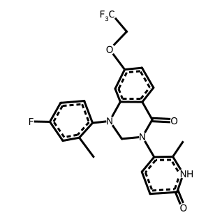 Cc1cc(F)ccc1N1CN(c2ccc(=O)[nH]c2C)C(=O)c2ccc(OCC(F)(F)F)cc21